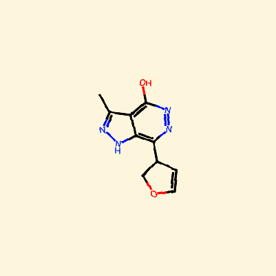 Cc1n[nH]c2c(C3C=COC3)nnc(O)c12